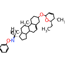 CC[C@H]1OC(OC2CC[C@@]3(C)C(=CCC4C3CC[C@@]3(C)C4CC[C@@H]3/C(C)=N/Oc3ccccc3)C2)C=C[C@@H]1C